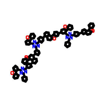 c1ccc(-c2nc(-c3ccc(-c4cccc5c(-c6cccc(-c7nc(-c8ccc(-c9cccc%10c9ccc9oc%11cc(-c%12cc(-c%13nc(-c%14ccccc%14)nc(-c%14ccc(-c%15ccc%16c(ccc%17oc%18ccccc%18c%17%16)c%15)cc%14)n%13)c%13c(c%12)oc%12ccccc%12%13)ccc%11c9%10)cc8)nc(-c8cccc9oc%10ccccc%10c89)n7)c6)cc6oc7ccccc7c6c45)cc3)nc(-c3cccc4oc5ccccc5c34)n2)cc1